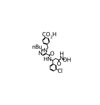 CCCCc1ncc(C(=O)NC(CC(=O)NO)c2cccc(Cl)c2)n1Cc1ccc(C(=O)O)cc1